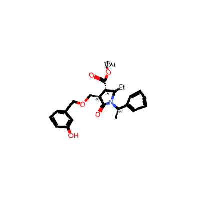 CCC1[C@@H](C(=O)OC(C)(C)C)[C@H](COCc2cccc(O)c2)C(=O)N1[C@H](C)c1ccccc1